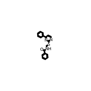 O=C(NCSc1nccc(-c2ccccc2)n1)c1ccccc1